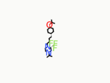 CC(C)O[C@H]1CC[C@H](CCCCN2CCN(C(C)C)C[C@H]2C(F)(F)F)CC1